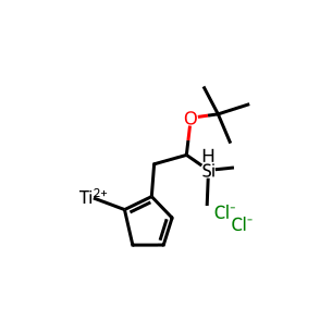 C[SiH](C)C(CC1=[C]([Ti+2])CC=C1)OC(C)(C)C.[Cl-].[Cl-]